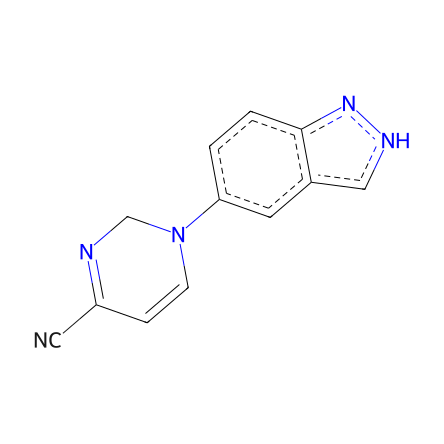 N#CC1=NCN(c2ccc3n[nH]cc3c2)C=C1